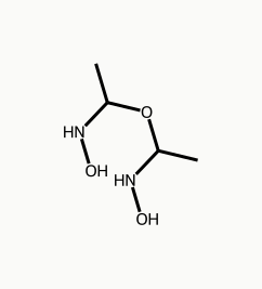 CC(NO)OC(C)NO